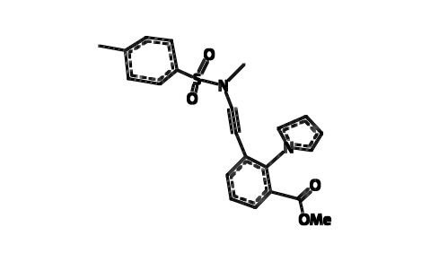 COC(=O)c1cccc(C#CN(C)S(=O)(=O)c2ccc(C)cc2)c1-n1cccc1